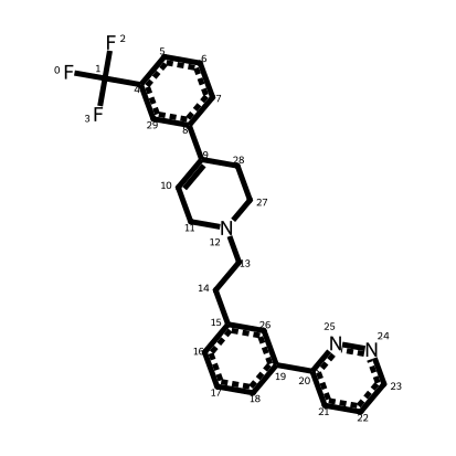 FC(F)(F)c1cccc(C2=CCN(CCc3cccc(-c4cccnn4)c3)CC2)c1